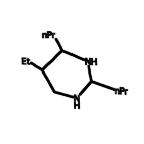 CCCC1NCC(CC)C(CCC)N1